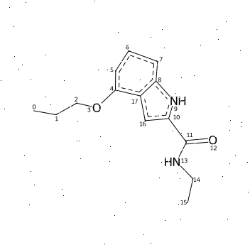 CCCOc1cccc2[nH]c(C(=O)NCC)cc12